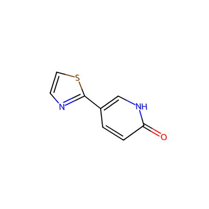 O=c1ccc(-c2nccs2)c[nH]1